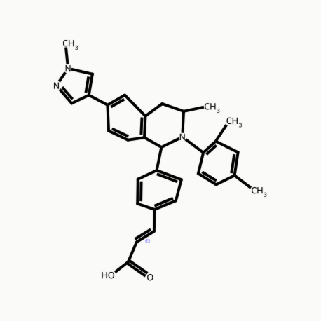 Cc1ccc(N2C(C)Cc3cc(-c4cnn(C)c4)ccc3C2c2ccc(/C=C/C(=O)O)cc2)c(C)c1